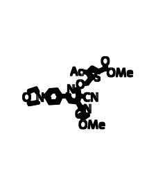 COC(=O)c1cc(C(C)=O)c(COc2nc(-c3ccc(N4CCOCC4)cc3)cc(-c3ncc(OC)o3)c2C#N)s1